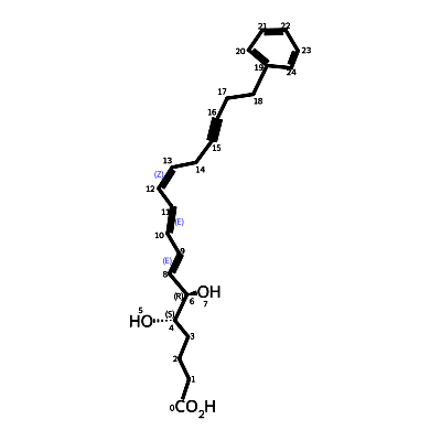 O=C(O)CCC[C@H](O)[C@H](O)/C=C/C=C/C=C\CC#CCCc1ccccc1